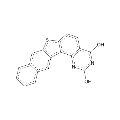 Oc1nc(O)c2ccc3sc4cc5ccccc5cc4c3c2n1